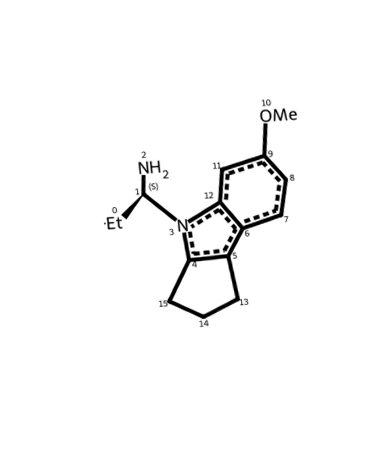 C[CH][C@@H](N)n1c2c(c3ccc(OC)cc31)CCC2